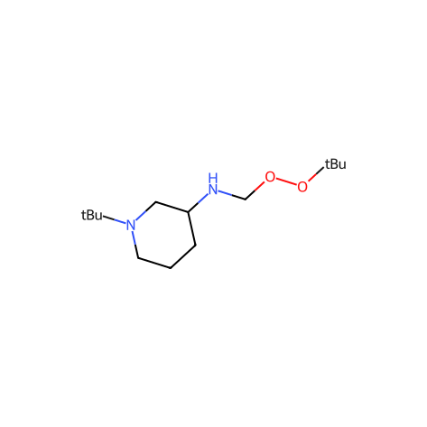 CC(C)(C)OOCNC1CCCN(C(C)(C)C)C1